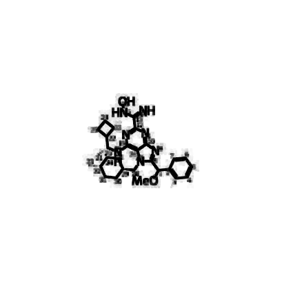 COC(c1ccccc1)c1nc2nc(C(=N)NO)nc(N[C@H](C)C3CCC3)c2n1C[C@H]1CC[C@H](C)CC1